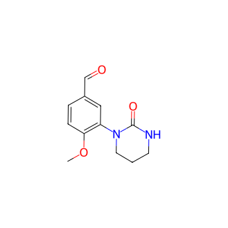 COc1ccc(C=O)cc1N1CCCNC1=O